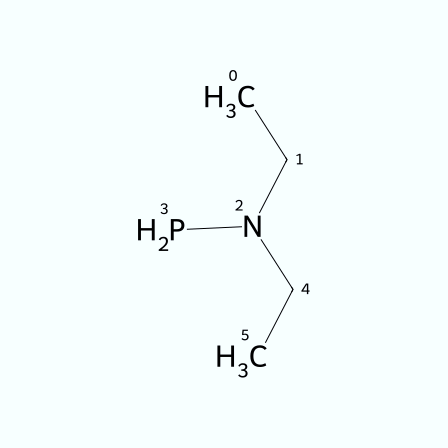 CCN(P)CC